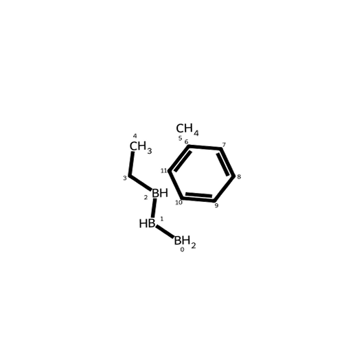 BBBCC.C.c1ccccc1